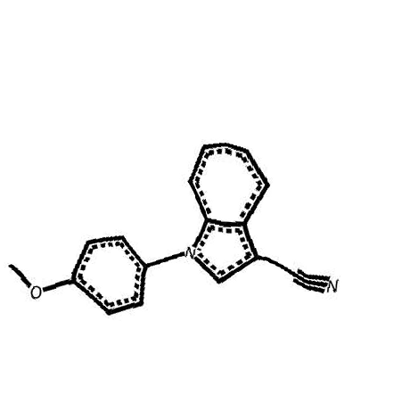 COc1ccc(-n2cc(C#N)c3ccccc32)cc1